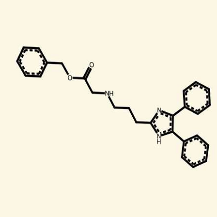 O=C(CNCCCc1nc(-c2ccccc2)c(-c2ccccc2)[nH]1)OCc1ccccc1